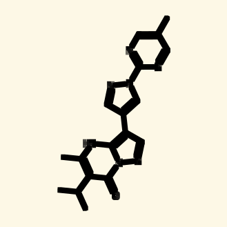 Cc1cnc(-n2cc(-c3cnn4c(=O)c(C(C)C)c(C)[nH]c34)cn2)nc1